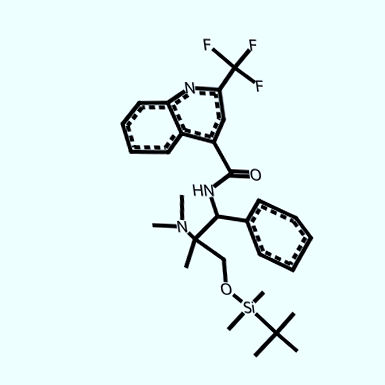 CN(C)C(C)(CO[Si](C)(C)C(C)(C)C)C(NC(=O)c1cc(C(F)(F)F)nc2ccccc12)c1ccccc1